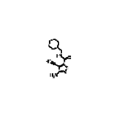 C#Cc1c(N)nsc1C(=O)NCC1CCCCC1